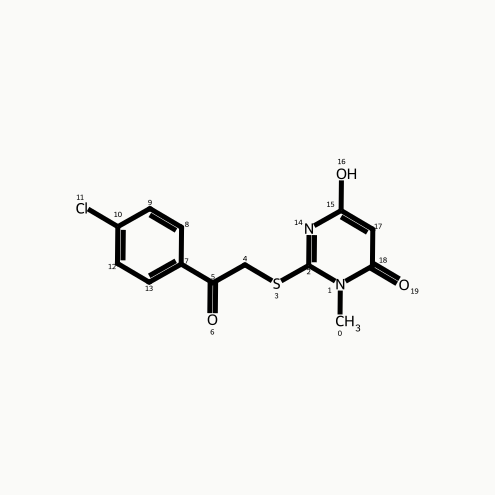 Cn1c(SCC(=O)c2ccc(Cl)cc2)nc(O)cc1=O